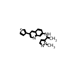 C=C(Nc1ccc2cc(-c3ccsc3)cnc2c1)c1ccnn1C